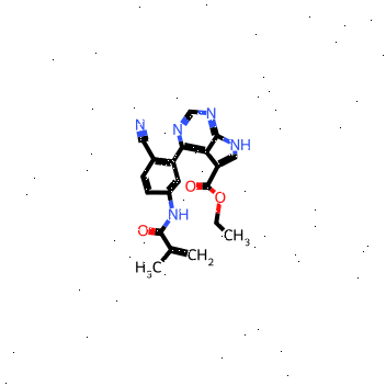 C=C(C)C(=O)Nc1ccc(C#N)c(-c2ncnc3[nH]cc(C(=O)OCC)c23)c1